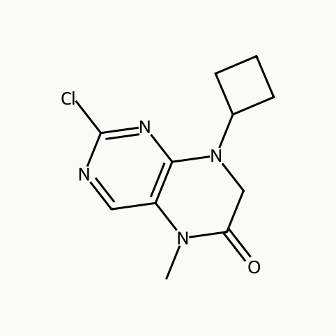 CN1C(=O)CN(C2CCC2)c2nc(Cl)ncc21